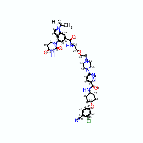 CC(C)n1ccc2c(N3CCC(=O)NC3=O)cc(C(=O)NCCOCCN3CCN(c4ccc(C(=O)N[C@H]5CC[C@H](Oc6ccc(C#N)c(Cl)c6)CC5)nn4)CC3)cc21